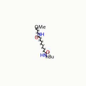 CCCCNC(=O)CCCCCCCCC(=O)NCCCOC